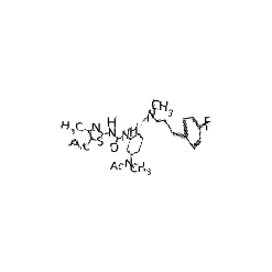 CC(=O)c1sc(NC(=O)N[C@@H]2C[C@@H](N(C)C(C)=O)CC[C@H]2CN(C)CCCc2ccc(F)cc2)nc1C